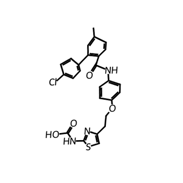 Cc1ccc(C(=O)Nc2ccc(OCCc3csc(NC(=O)O)n3)cc2)c(-c2ccc(Cl)cc2)c1